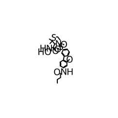 CCCC(=O)Nc1ccc2c(c1)oc1ccc(S(=O)(=O)N3CCSC(C)(C)C3C(=O)NO)cc12